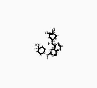 C[C@]1(O)CC[C@H](Nc2ncc3ncnc(Nc4ccc(Cl)c(Cl)c4)c3n2)CC1